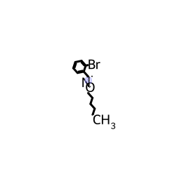 CCCCCCO/N=[C]/c1ccccc1Br